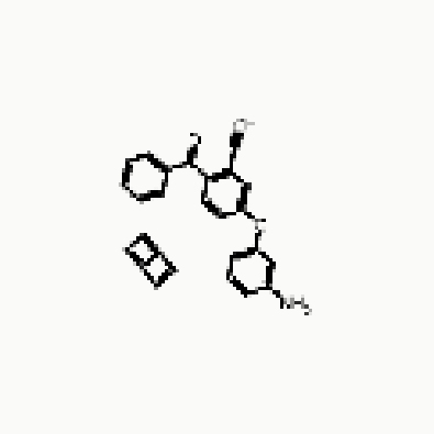 C#Cc1cc(Oc2cccc(N)c2)ccc1C(=O)c1ccccc1.c1cc2ccc1-2